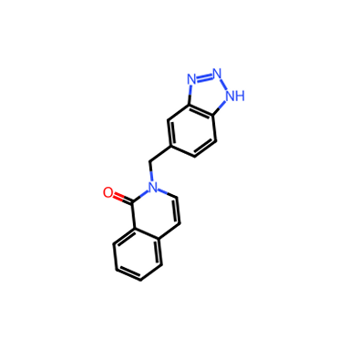 O=c1c2ccccc2ccn1Cc1ccc2[nH]nnc2c1